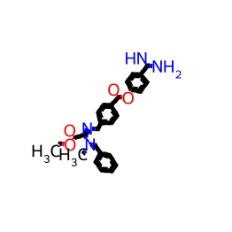 CCOC(=O)C(=NCc1ccc(C(=O)Oc2ccc(C(=N)N)cc2)cc1)N(C)Cc1ccccc1